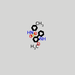 COc1ccc(S(=O)(=O)Nc2ccc(C)cc2)c2c1[nH]c1ccccc12